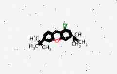 CC(C)(C)c1ccc2c(c1)Oc1cc(C(C)(C)C)cc(Br)c1C2